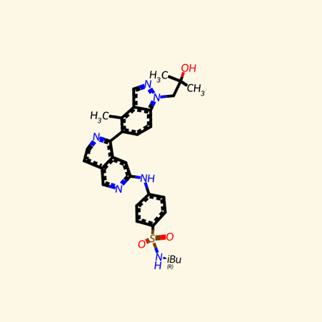 CC[C@@H](C)NS(=O)(=O)c1ccc(Nc2cc3c(-c4ccc5c(cnn5CC(C)(C)O)c4C)nccc3cn2)cc1